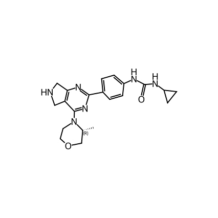 C[C@@H]1COCCN1c1nc(-c2ccc(NC(=O)NC3CC3)cc2)nc2c1CNC2